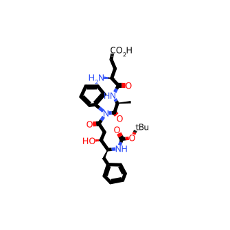 C[C@H](NC(=O)[C@@H](N)CCC(=O)O)C(=O)N(C(=O)C[C@H](O)[C@H](Cc1ccccc1)NC(=O)OC(C)(C)C)c1ccccc1